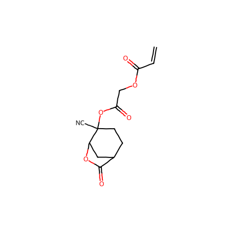 C=CC(=O)OCC(=O)OC1(C#N)CCC2CC1OC2=O